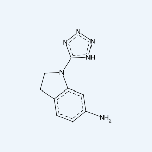 Nc1ccc2c(c1)N(c1nnn[nH]1)CC2